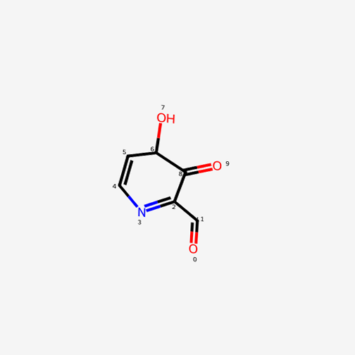 O=[C]C1=NC=CC(O)C1=O